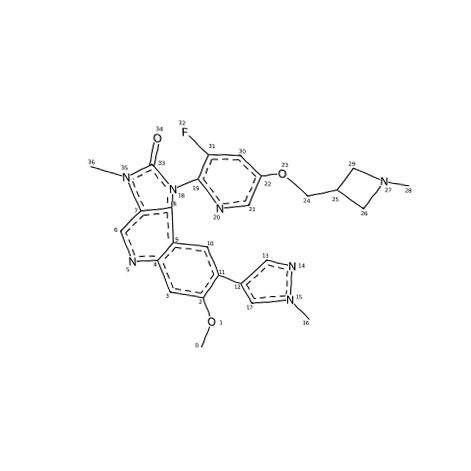 COc1cc2ncc3c(c2cc1-c1cnn(C)c1)n(-c1ncc(OCC2CN(C)C2)cc1F)c(=O)n3C